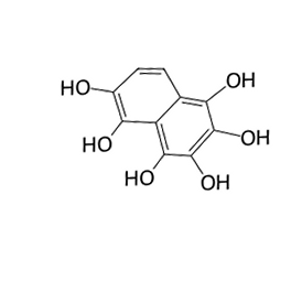 Oc1ccc2c(O)c(O)c(O)c(O)c2c1O